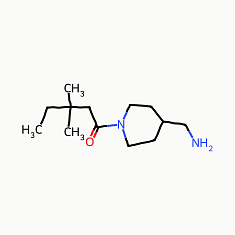 CCC(C)(C)CC(=O)N1CCC(CN)CC1